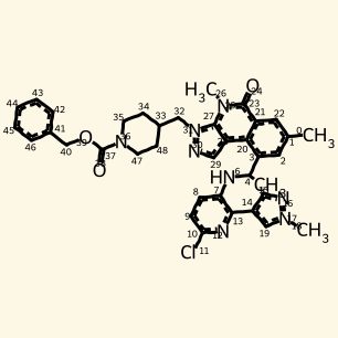 Cc1cc(C(C)Nc2ccc(Cl)nc2-c2cnn(C)c2)c2c(c1)c(=O)n(C)c1c2cnn1CC1CCN(C(=O)OCc2ccccc2)CC1